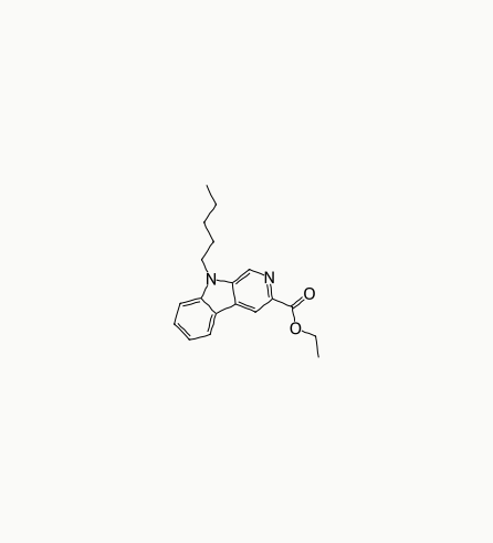 CCCCCn1c2ccccc2c2cc(C(=O)OCC)ncc21